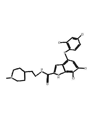 CN1CCC(CCNC(=O)c2cc3c(Sc4ccc(Cl)cc4Cl)cc(Cl)c(Cl)c3[nH]2)CC1